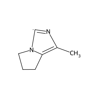 Cc1n[c]n2c1CCC2